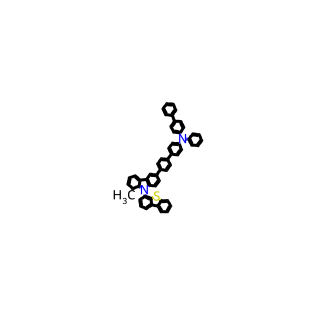 CC1C=CC=C2c3cc(-c4ccc(-c5ccc(N(c6ccccc6)c6ccc(-c7ccccc7)cc6)cc5)cc4)ccc3N(c3cccc4c3sc3ccccc34)C21